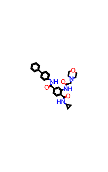 O=C(CN1CCOCC1)Nc1cc(C(=O)Nc2ccc(-c3ccccc3)cc2)ccc1C(=O)NC1CC1